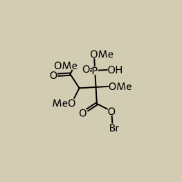 COC(=O)C(OC)C(OC)(C(=O)OBr)P(=O)(O)OC